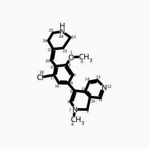 COc1cc(C2=CN(C)Cc3cnccc32)cc(Cl)c1C=C1CCNCC1